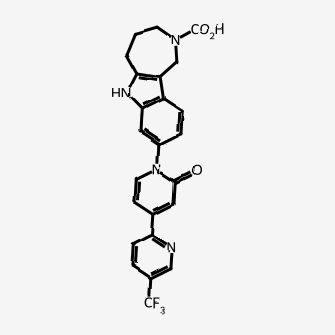 O=C(O)N1CCCc2[nH]c3cc(-n4ccc(-c5ccc(C(F)(F)F)cn5)cc4=O)ccc3c2C1